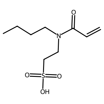 C=CC(=O)N(CCCC)CCS(=O)(=O)O